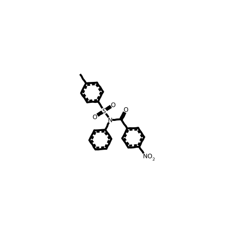 Cc1ccc(S(=O)(=O)N(C(=O)c2ccc([N+](=O)[O-])cc2)c2ccccc2)cc1